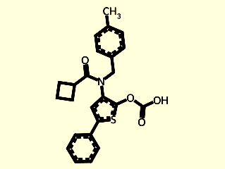 Cc1ccc(CN(C(=O)C2CCC2)c2cc(-c3ccccc3)sc2OC(=O)O)cc1